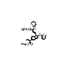 CC=C(C(=O)OC)C1=CC2CC(OC3CCCCO3)C(C=CC(CCCCC)OC3CCCCO3)C2C1